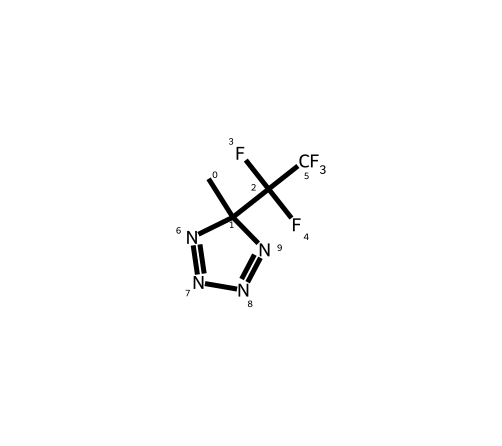 CC1(C(F)(F)C(F)(F)F)N=NN=N1